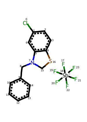 Clc1ccc2c(c1)N(Cc1ccccc1)CS2.[F][Sb-]([F])([F])([F])([F])[F]